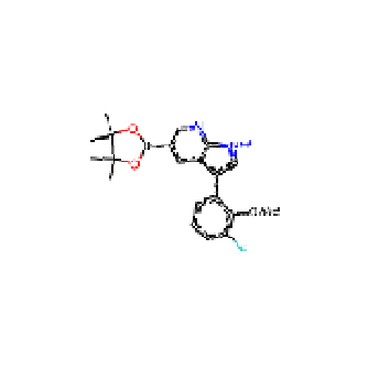 COc1c(F)cccc1-c1c[nH]c2ncc(B3OC(C)(C)C(C)(C)O3)cc12